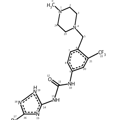 CN1CCN(Cc2ccc(NC(=O)Nc3nc(Br)n[nH]3)cc2C(F)(F)F)CC1